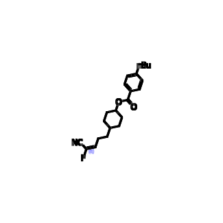 CCCCc1ccc(C(=O)OC2CCC(CC/C=C(/F)C#N)CC2)cc1